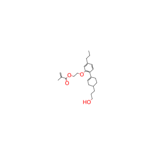 C=C(C)C(=O)OCCOc1cc(CCC)ccc1C1=CCC(CCCO)CC1